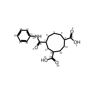 O=C(O)C1CCCC(C(=O)Nc2ccccc2)CC(C(=O)O)CC1